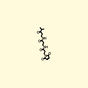 CC(C)C(=O)CCNC(=O)CCNC(=O)CCN1C(=O)C=CC1=O